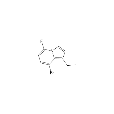 CCc1ccn2c(F)ccc(Br)c12